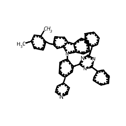 Cc1ccc(-c2ccc3c4ccccc4n(-c4ccc(-c5ccncc5)cc4-c4nc(-c5ccccc5)nc(-c5ccccc5)n4)c3c2)c(C)c1